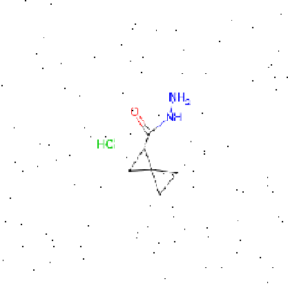 Cl.NNC(=O)C1CC12CC2